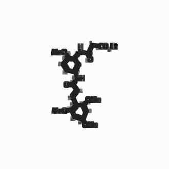 CCOC(=O)CC(=O)Nc1cc(NC(=O)C=Cc2c(OC)cc(OC)cc2OC)ccc1OC